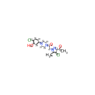 CC(=O)c1nn(CC(=O)N2CCN(c3ccc(Cl)c(O)c3)CC2)c(C)c1Cl